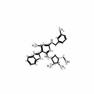 Cc1cccc(CNc2nc(C)c(-c3nc4ccccc4s3)c(N[C@@H]3C[C@H](CO)[C@@H](C)[C@H]3C)n2)c1